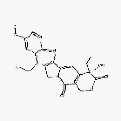 CC[C@@]1(O)C(=O)OCc2c1cc1n(c2=O)Cc2c-1nc1ccc(OC)cc1c2CCl